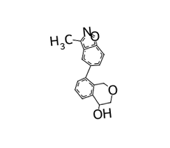 Cc1noc2ccc(-c3cccc4c3COCC4O)cc12